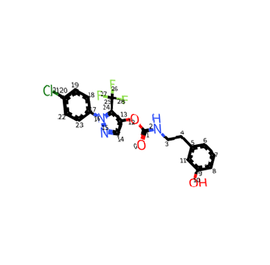 O=C(NCCc1cccc(O)c1)Oc1cnn(-c2ccc(Cl)cc2)c1C(F)(F)F